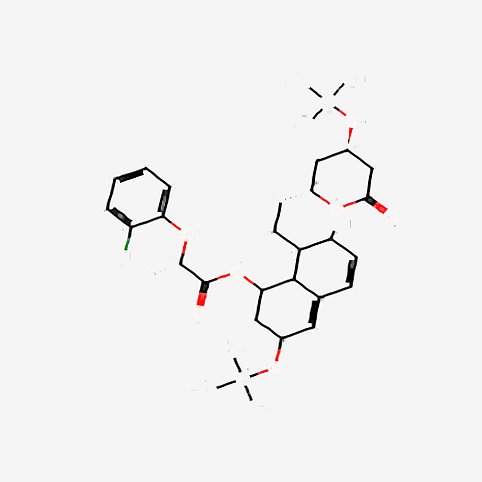 CC1C=CC2=CC(O[Si](C)(C)C(C)(C)C)CC(OC(=O)[C@H](C)Oc3ccccc3Cl)C2C1CC[C@@H]1C[C@@H](O[Si](C)(C)C(C)(C)C)CC(=O)O1